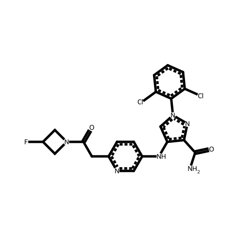 NC(=O)c1nn(-c2c(Cl)cccc2Cl)cc1Nc1ccc(CC(=O)N2CC(F)C2)nc1